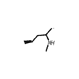 [CH2]C(CC=C)NC